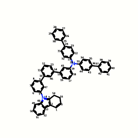 C1=Cc2c(n(-c3cccc(-c4cccc(-c5cccc(N(c6ccc(-c7ccccc7)cc6)c6ccc(-c7ccccc7)cc6)c5)c4)c3)c3ccccc23)CC1